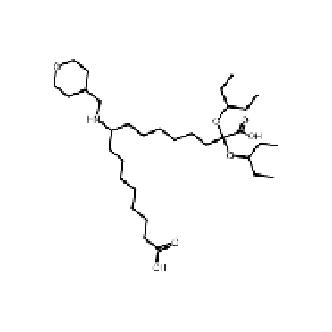 CCC(CC)OC(CCCCCCC(CCCCCCCC(=O)O)NCC1CCOCC1)(OC(CC)CC)C(=O)O